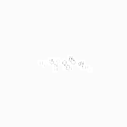 Cc1cc(NC(=O)Cc2ccc(-c3cnn4cc(-c5cnn(C)c5)cc(-c5cnccn5)c34)cc2)no1